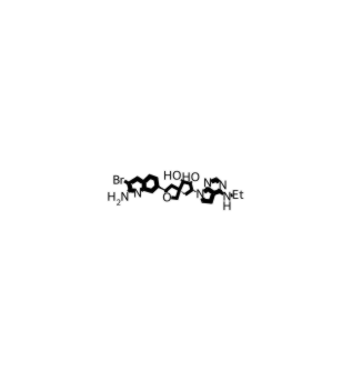 CCNc1ncnc2c1ccn2[C@@H]1C[C@@]2(CO[C@@H](c3ccc4cc(Br)c(N)nc4c3)C2)[C@@H](O)[C@H]1O